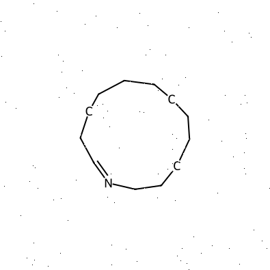 C1=NCCCCCCCCCCC1